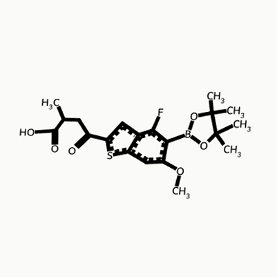 COc1cc2sc(C(=O)CC(C)C(=O)O)cc2c(F)c1B1OC(C)(C)C(C)(C)O1